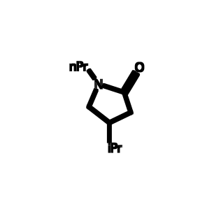 CCCN1CC(C(C)C)CC1=O